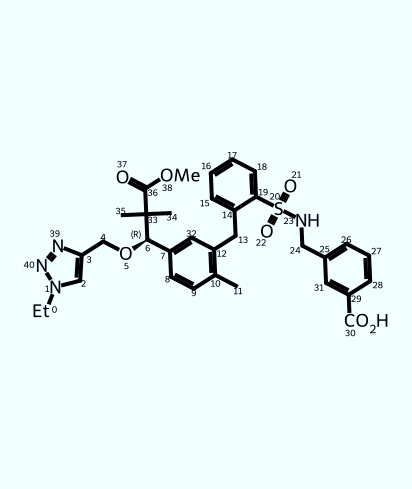 CCn1cc(CO[C@H](c2ccc(C)c(Cc3ccccc3S(=O)(=O)NCc3cccc(C(=O)O)c3)c2)C(C)(C)C(=O)OC)nn1